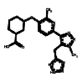 Cc1nc(-c2nnn(C)c2Cc2nn[nH]n2)ccc1OC1CCCC(C(=O)O)C1